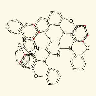 c1ccc(-n2c(-c3ccccc3-c3c(N4c5ccccc5Oc5ccccc54)c(N4c5ccccc5Oc5ccccc54)nc(N4c5ccccc5Oc5ccccc54)c3N3c4ccccc4Oc4ccccc43)nc3ccccc32)cc1